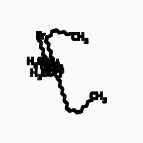 CCCCC/C=C\C/C=C\CCCCCCCCOC(CCCCCCC/C=C\C/C=C\CCCCC)O[Si](C)(C)O[Si](C)(C)CCCCCCBr